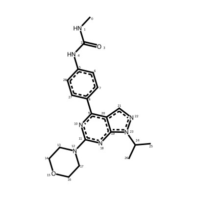 CNC(=O)Nc1ccc(-c2nc(N3CCOCC3)nc3c2cnn3C(C)C)cc1